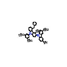 CC(C)c1ccc2c(c1)c1cc(C(C)(C)C)ccc1n2-c1ccc2c(c1C(C)(C)C)c1c(Cc3ccccc3)cccc1n2-c1cc(C(C)(C)C)cc(C(C)(C)C)c1